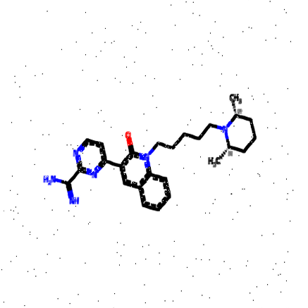 C[C@@H]1CCC[C@H](C)N1CCCCCn1c(=O)c(-c2ccnc(C(=N)N)n2)cc2ccccc21